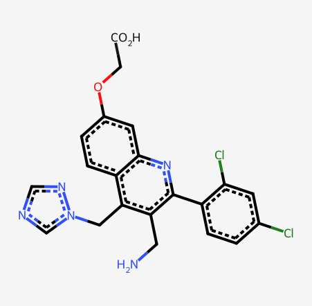 NCc1c(-c2ccc(Cl)cc2Cl)nc2cc(OCC(=O)O)ccc2c1Cn1cncn1